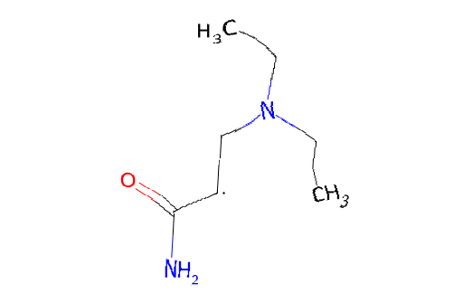 CCN(CC)C[CH]C(N)=O